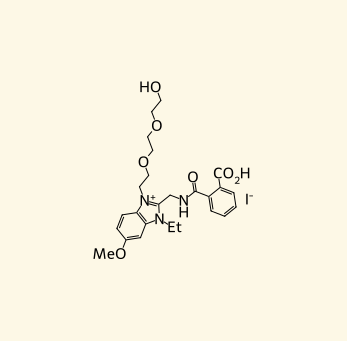 CCn1c(CNC(=O)c2ccccc2C(=O)O)[n+](CCOCCOCCO)c2ccc(OC)cc21.[I-]